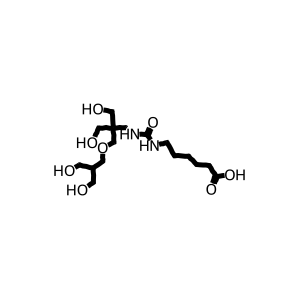 O=C(O)CCCCCNC(=O)NCC(CO)(CO)COCC(CO)CO